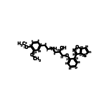 COc1ccc(CCNCC(O)COc2ccccc2-c2noc3ccsc23)cc1OC